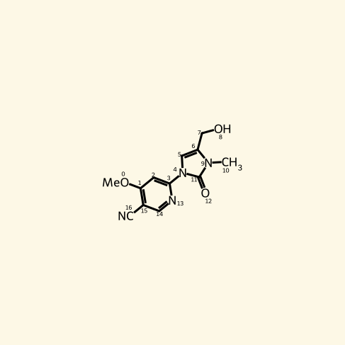 COc1cc(-n2cc(CO)n(C)c2=O)ncc1C#N